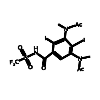 CC(=O)N(C)c1cc(C(=O)NS(=O)(=O)C(F)(F)F)c(I)c(N(C)C(C)=O)c1I